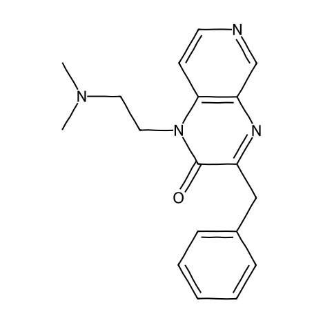 CN(C)CCn1c(=O)c(Cc2ccccc2)nc2cnccc21